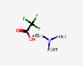 CCCCCCCCN(CCCCCCCC)CCCCCCCC.O=C(O)C(F)(F)F